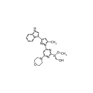 CO[C@@H](CO)c1nc(N2CCOCC2)cc(-n2nc(-c3c[nH]c4ccccc34)cc2C)n1